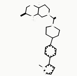 Cn1nccc1-c1ccc(C2CCN(C(=O)N3CC[C@@H]4OCC(=O)N[C@@H]4C3)CC2)cc1